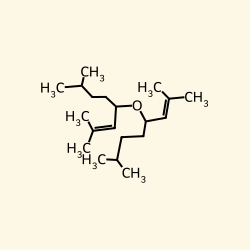 CC(C)=CC(CCC(C)C)OC(C=C(C)C)CCC(C)C